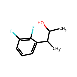 [CH2]C(c1cccc(F)c1F)C(C)O